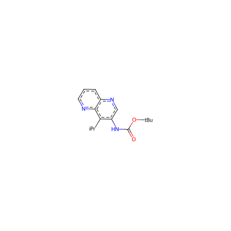 CC(C)c1c(NC(=O)OC(C)(C)C)cnc2cccnc12